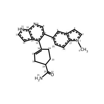 Cn1ccc2cc(-c3cnc4[nH]ccc4c3C3=CCC(C(N)=O)CC3)ccc21